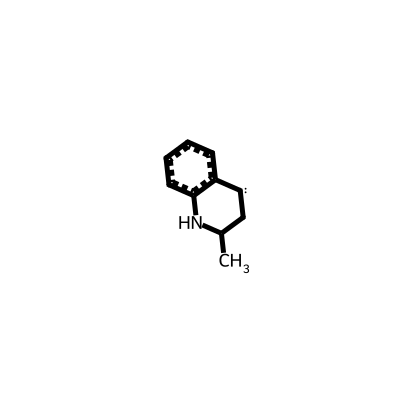 CC1C[C]c2ccccc2N1